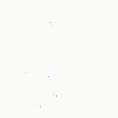 CCC(=O)c1cc(NC(=O)C(C)(O)C(C)C)ccc1[N+](=O)[O-]